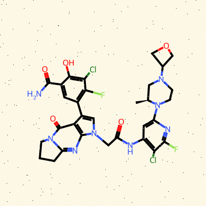 C[C@H]1CN(C2COC2)CCN1c1cc(NC(=O)Cn2cc(-c3cc(C(N)=O)c(O)c(Cl)c3F)c3c(=O)n4c(nc32)CCC4)c(Cl)c(F)n1